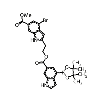 COC(=O)c1cc(Br)c2cc(CCOC(=O)c3cc(B4OC(C)(C)C(C)(C)O4)c4cc[nH]c4c3)[nH]c2c1